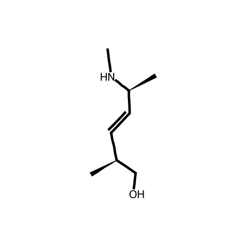 CN[C@@H](C)/C=C/[C@H](C)CO